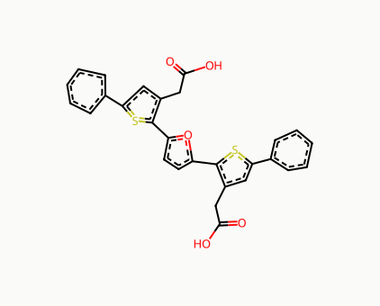 O=C(O)Cc1cc(-c2ccccc2)sc1-c1ccc(-c2sc(-c3ccccc3)cc2CC(=O)O)o1